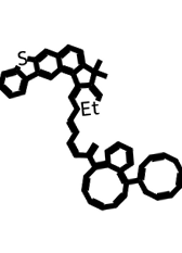 C=C(/C=C\C=C\C/C=C1\C(=C/CC)C(C)(C)c2ccc3cc4sc5ccccc5c4cc3c21)c1ccccccc(/C2=C/C=C\C/C=C\C=C/C2)c2ccccc12